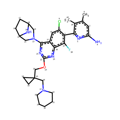 Cc1cc(N)nc(-c2c(Cl)cc3c(N4CC5CCC(C4)N5)nc(OCC4(CN5CCCCC5)CC4)nc3c2F)c1C(F)(F)F